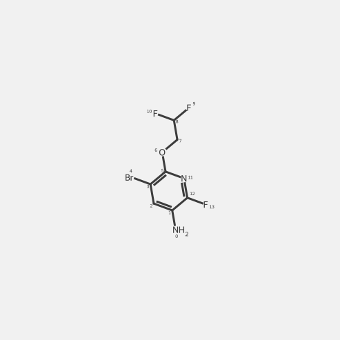 Nc1cc(Br)c(OCC(F)F)nc1F